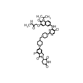 CNC(=O)COc1cc2cc(Nc3nc(N4CCN(CC5CCN(c6cc(F)c7c(c6)CN(C6CCC(=O)NC6=O)C7=O)CC5)CC4)ncc3Cl)ccc2n(C(C)C)c1=O